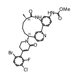 COC(=O)Nc1ccc2c(c1)NC(=O)[C@H](C)CCC[C@H](N1CCC(c3c(Br)ccc(Cl)c3F)=CC1=O)c1ccnc-2c1